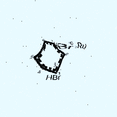 Br.Br.[Ru].c1ccccc1